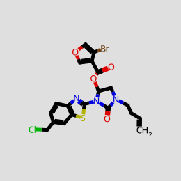 C=CCCN1CC(OC(=O)c2cocc2Br)N(c2nc3ccc(CCl)cc3s2)C1=O